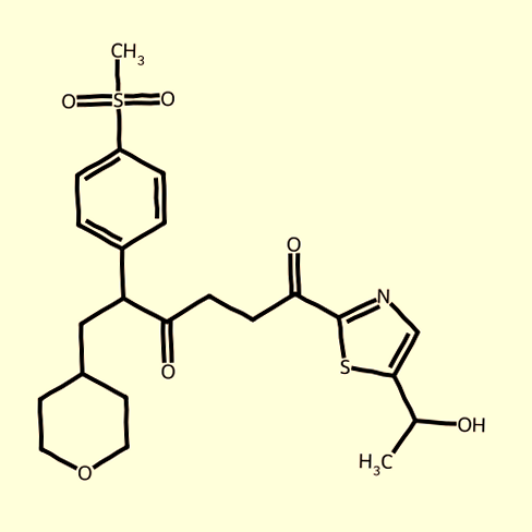 CC(O)c1cnc(C(=O)CCC(=O)C(CC2CCOCC2)c2ccc(S(C)(=O)=O)cc2)s1